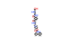 O=C(Nc1ccccc1-c1ccccc1)OC1CCN(CCNCC(=O)c2cccc(C(=O)NCCNCCO)c2)CC1